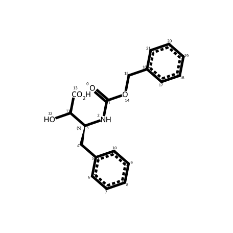 O=C(N[C@@H](Cc1ccccc1)C(O)C(=O)O)OCc1ccccc1